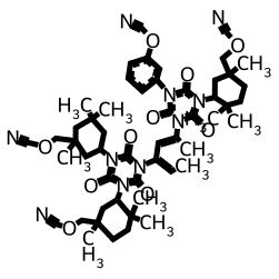 C/C=C(\C=C(/C)n1c(=O)n(-c2cccc(OC#N)c2)c(=O)n(C2CC(C)(COC#N)CCC2(C)C)c1=O)n1c(=O)n(C2CC(C)(C)CC(C)(COC#N)C2)c(=O)n(C2CC(C)(COC#N)CCC2(C)C)c1=O